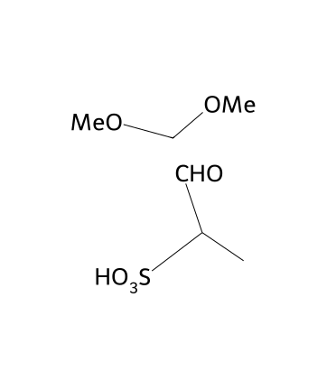 CC(C=O)S(=O)(=O)O.COCOC